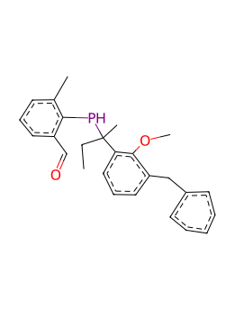 CCC(C)(Pc1c(C)cccc1C=O)c1cccc(Cc2ccccc2)c1OC